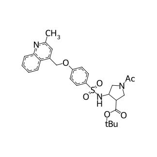 CC(=O)N1CC(NS(=O)(=O)c2ccc(OCc3cc(C)nc4ccccc34)cc2)C(C(=O)OC(C)(C)C)C1